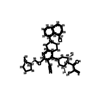 C=C(F)C(=O)N1[C@H](C)CN(c2c(C#N)c(OC[C@@H]3CCCN3C)nc3c2CCN(c2cccc4cccc(Cl)c24)C3)C[C@@H]1C